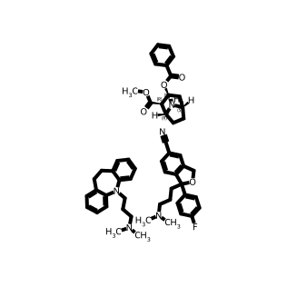 CN(C)CCCC1(c2ccc(F)cc2)OCc2cc(C#N)ccc21.CN(C)CCCN1c2ccccc2CCc2ccccc21.COC(=O)[C@H]1[C@@H](OC(=O)c2ccccc2)C[C@@H]2CC[C@H]1N2C